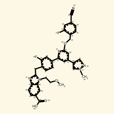 COCCn1c(Cc2ccc(-c3cc(-c4cnn(C)c4)cc(OCc4ccc(C#N)cc4F)n3)cc2F)nc2ccc(C(=O)O)cc21